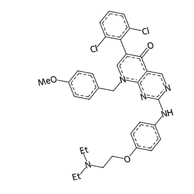 CCN(CC)CCOc1ccc(Nc2ncc3c(=O)c(-c4c(Cl)cccc4Cl)cn(Cc4ccc(OC)cc4)c3n2)cc1